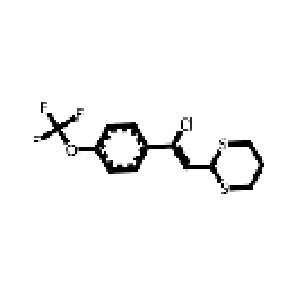 FC(F)(F)Oc1ccc(C(Cl)=CC2SCCCS2)cc1